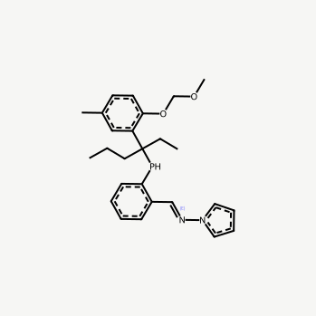 CCCC(CC)(Pc1ccccc1/C=N/n1cccc1)c1cc(C)ccc1OCOC